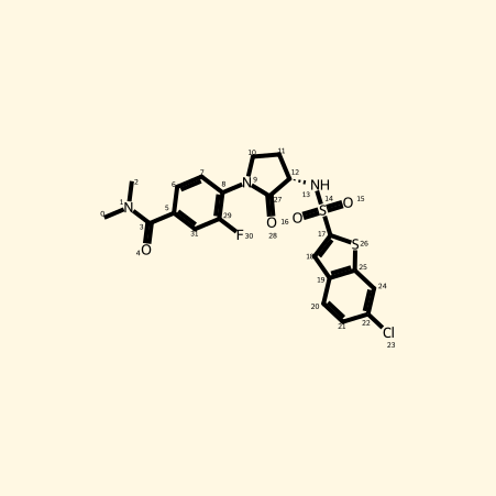 CN(C)C(=O)c1ccc(N2CC[C@H](NS(=O)(=O)c3cc4ccc(Cl)cc4s3)C2=O)c(F)c1